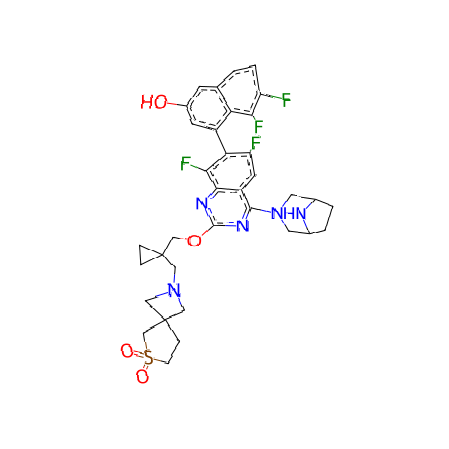 O=S1(=O)CCC2(CN(CC3(COc4nc(N5CC6CCC(C5)N6)c5cc(F)c(-c6cc(O)cc7ccc(F)c(F)c67)c(F)c5n4)CC3)C2)C1